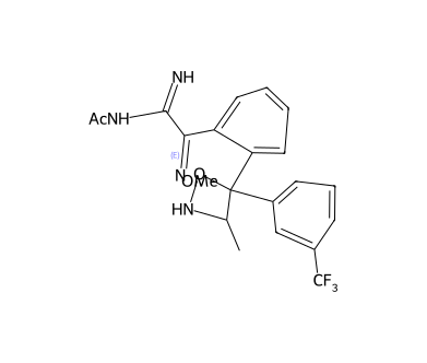 CO/N=C(/C(=N)NC(C)=O)c1ccccc1C1(c2cccc(C(F)(F)F)c2)ONC1C